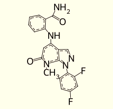 Cn1c(=O)cc(Nc2ccccc2C(N)=O)c2cnn(-c3ccc(F)cc3F)c21